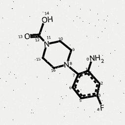 Nc1cc(F)ccc1N1CCN(C(=O)O)CC1